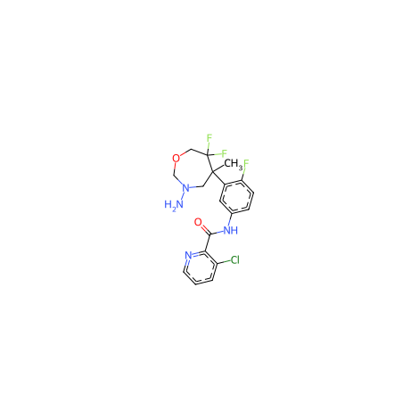 CC1(c2cc(NC(=O)c3ncccc3Cl)ccc2F)CN(N)COCC1(F)F